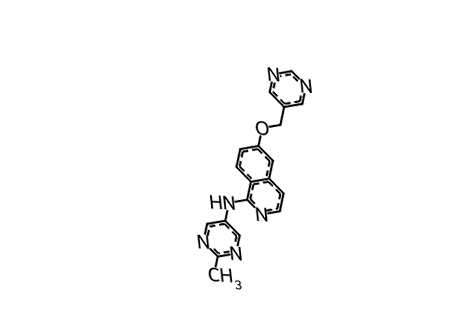 Cc1ncc(Nc2nccc3cc(OCc4cncnc4)ccc23)cn1